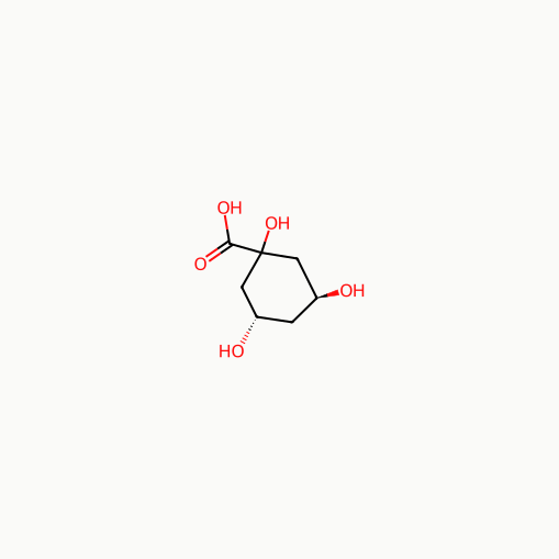 O=C(O)C1(O)C[C@@H](O)C[C@H](O)C1